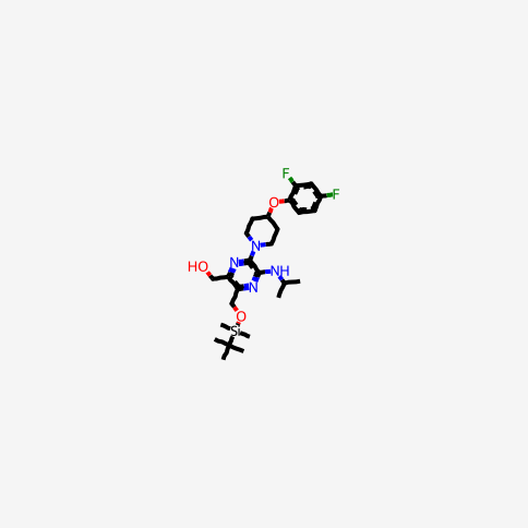 CC(C)Nc1nc(CO[Si](C)(C)C(C)(C)C)c(CO)nc1N1CCC(Oc2ccc(F)cc2F)CC1